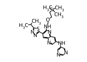 CC(C)c1nnc(-c2cc3ncc(Nc4cncnc4)cc3nc2NCOCC[Si](C)(C)C)s1